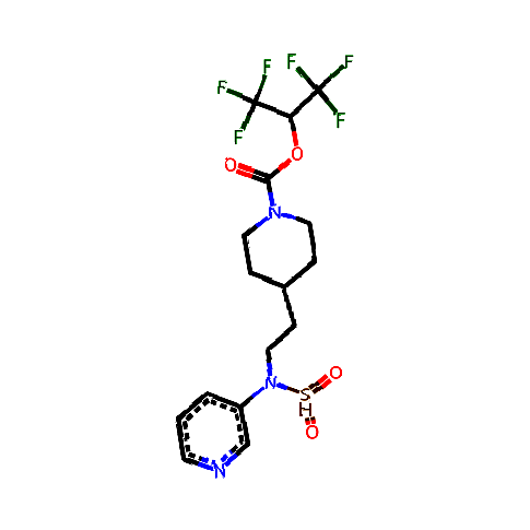 O=C(OC(C(F)(F)F)C(F)(F)F)N1CCC(CCN(c2cccnc2)[SH](=O)=O)CC1